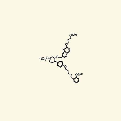 COCCCOc1ccc2ccc(COC3CN(C(=O)O)CCC3c3ccc(OCCCOCc4ccccc4OC)cc3)cc2n1